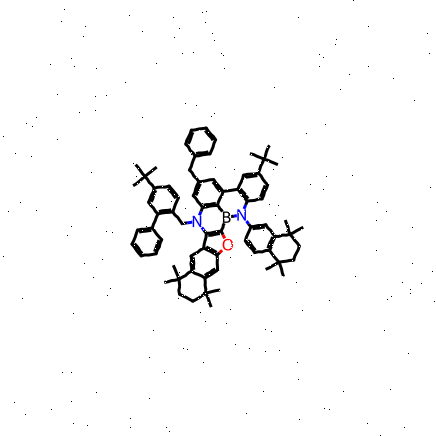 CC(C)(C)c1ccc(CN2c3cc(Cc4ccccc4)cc4c3B(c3oc5cc6c(cc5c32)C(C)(C)CCC6(C)C)N(c2ccc3c(c2)C(C)(C)CCC3(C)C)c2ccc(C(C)(C)C)cc2-4)c(-c2ccccc2)c1